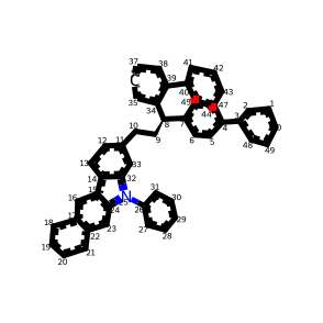 c1ccc(-c2ccc([C@@H](CCc3ccc4c5cc6ccccc6cc5n(-c5ccccc5)c4c3)c3ccccc3-c3ccccc3)cc2)cc1